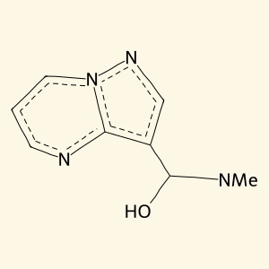 CNC(O)c1cnn2cccnc12